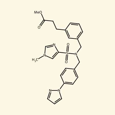 COC(=O)CCc1cccc(CN(Cc2ccc(-n3cccn3)cc2)S(=O)(=O)c2cn(C)cn2)c1